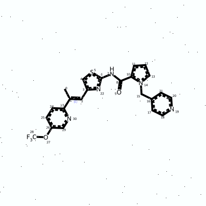 C/C(=C\c1csc(NC(=O)c2cccn2Cc2ccncc2)n1)c1ccc(OC(F)(F)F)cn1